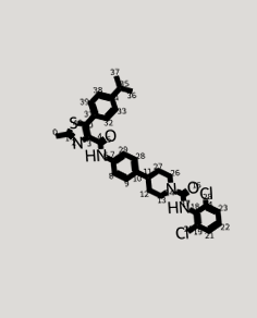 Cc1nc(C(=O)Nc2ccc(C3CCN(C(=O)Nc4c(Cl)cccc4Cl)CC3)cc2)c(-c2ccc(C(C)C)cc2)s1